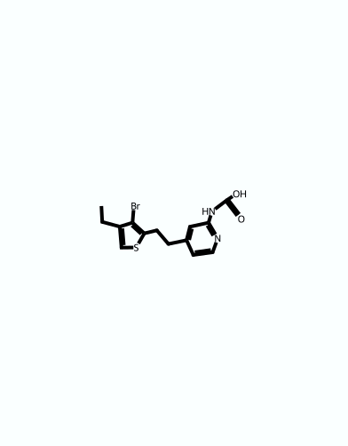 CCc1csc(CCc2ccnc(NC(=O)O)c2)c1Br